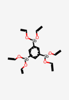 C=C[O][Sb]([O]C=C)[c]1c[c]([Sb]([O]C=C)[O]C=C)c[c]([Sb]([O]C=C)[O]C=C)c1